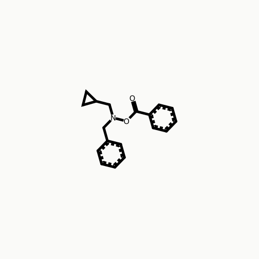 O=C(ON(Cc1ccccc1)CC1CC1)c1ccccc1